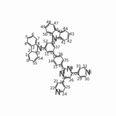 C1=CC2c3ccccc3N(c3cc(-c4ccc(-c5nc(-c6ccncc6)cc(-c6ccncc6)n5)cc4)cc(-n4c5ccccc5c5ccccc54)c3)C2C=C1